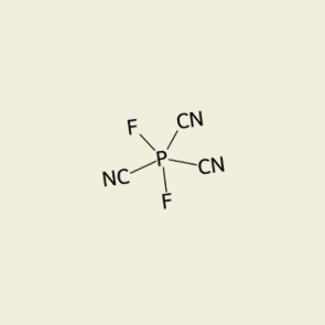 N#CP(F)(F)(C#N)C#N